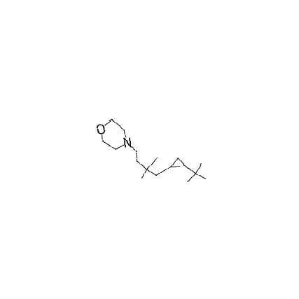 CC(C)(CCN1CCOCC1)CC1CC1C(C)(C)C